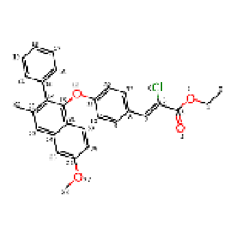 CCOC(=O)/C(Cl)=C/c1ccc(Oc2c(-c3ccccc3)c(C)cc3cc(OC)ccc23)cc1